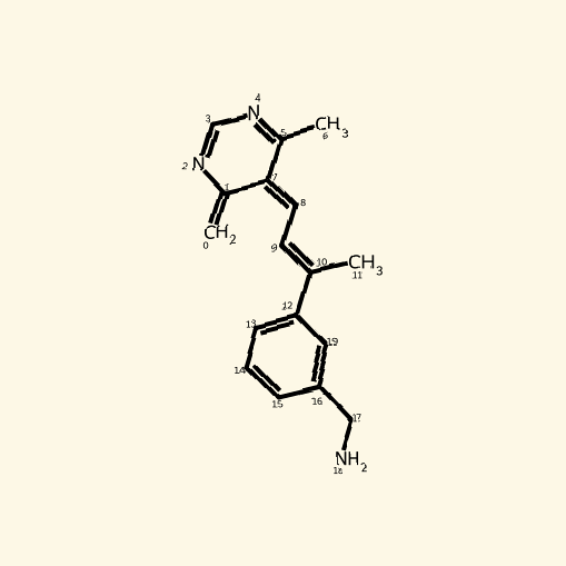 C=c1ncnc(C)/c1=C/C=C(\C)c1cccc(CN)c1